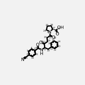 N#Cc1ccc(C(=O)NC(Cc2ccccc2)C(=O)CCC(=O)N2CCC[C@H]2C(=O)O)cc1